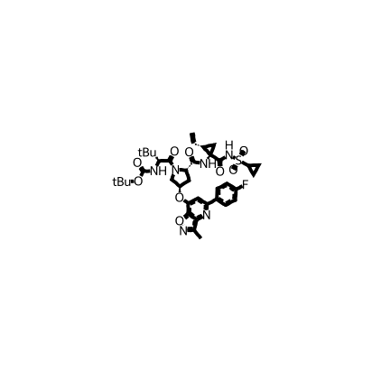 C=C[C@@H]1C[C@]1(NC(=O)[C@@H]1C[C@@H](Oc2cc(-c3ccc(F)cc3)nc3c(C)noc23)CN1C(=O)[C@@H](NC(=O)OC(C)(C)C)C(C)(C)C)C(=O)NS(=O)(=O)C1CC1